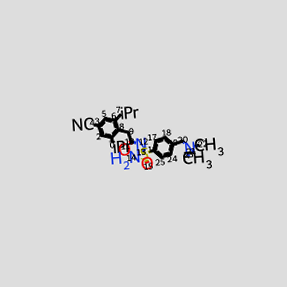 CC(C)c1cc(C#N)cc(C(C)C)c1CC(=O)N=[S@](N)(=O)c1ccc(CN(C)C)cc1